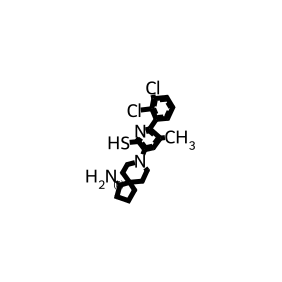 Cc1cc(N2CCC3(CCC[C@H]3N)CC2)c(S)nc1-c1cccc(Cl)c1Cl